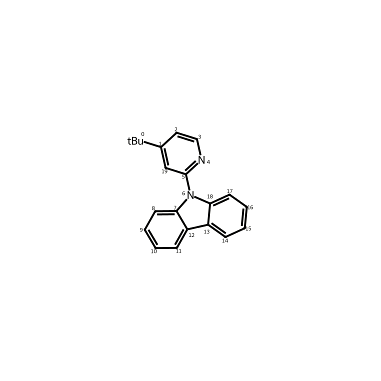 CC(C)(C)c1ccnc(-n2c3ccccc3c3ccccc32)c1